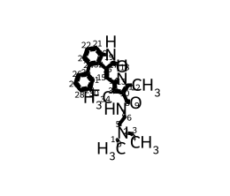 CCN(CC)CCNC(=O)c1c(C)[nH]c(C=C2C(=O)Nc3cccc(-c4cccc(F)c4)c32)c1C